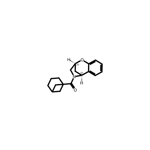 O=C(N1C[C@@H]2C[C@H]1c1ccccc1O2)C12CCCC(C1)C2